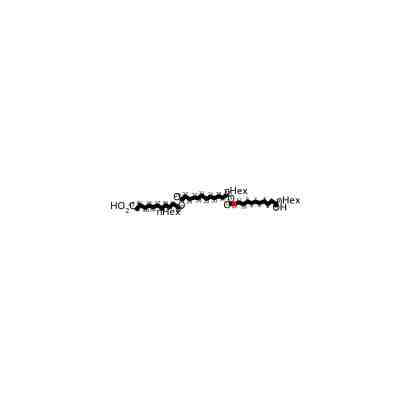 CCCCCCC(O)CCCCCCCCCCC(=O)OC(CCCCCC)CCCCCCCCCCC(=O)OC(CCCCCC)CCCCCCCCCCC(=O)O